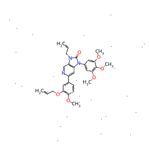 C=CCOc1cc(-c2cc3c(cn2)n(CC=C)c(=O)n3-c2cc(OC)c(OC)c(OC)c2)ccc1OC